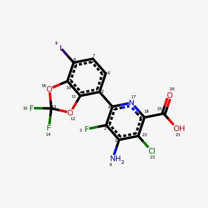 Nc1c(F)c(-c2ccc(I)c3c2OC(F)(F)O3)nc(C(=O)O)c1Cl